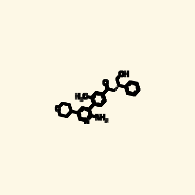 Cc1cc(C(=O)C[C@H](CO)c2ccccc2)ccc1-c1cc(C2CCOCC2)cnc1N